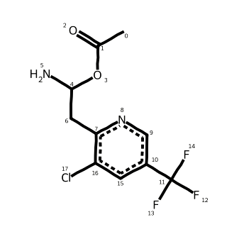 CC(=O)OC(N)Cc1ncc(C(F)(F)F)cc1Cl